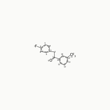 O=C(Cc1ccc(F)cc1)c1cccc(C(F)(F)F)c1